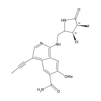 CC#Cc1cnc(NCC2NC(=O)[C@@H](F)[C@H]2CC)c2cc(OC)c(C(N)=O)cc12